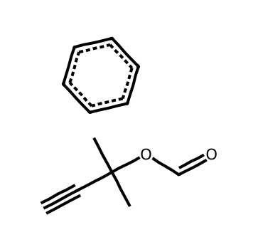 C#CC(C)(C)OC=O.c1ccccc1